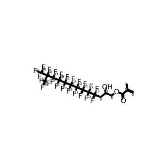 C=C(C)C(=O)OCC(O)CC(F)(F)C(F)(F)C(F)(F)C(F)(F)C(F)(F)C(F)(F)C(F)(F)C(F)(F)C(F)(C(F)(F)F)C(F)(F)F